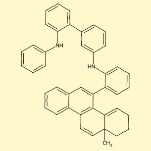 CC12C=Cc3c(c(-c4ccccc4Nc4cccc(-c5ccccc5Nc5ccccc5)c4)cc4ccccc34)C1=CCCC2